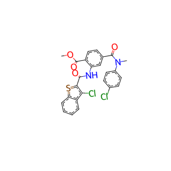 COC(=O)c1ccc(C(=O)N(C)c2ccc(Cl)cc2)cc1NC(=O)c1sc2ccccc2c1Cl